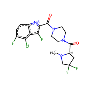 CN1CC(F)(F)C[C@H]1C(=O)N1CCN(C(=O)c2[nH]c3ccc(F)c(Cl)c3c2F)CC1